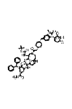 Cn1c(=O)n([C@@H]2CCC(=O)NC2=O)c2ccc(C[C@H]3CC[C@@H](CC(=O)N4CC[C@H]5CC[C@@H](C(=O)N[C@@H](CCC(N)=O)C(=O)NC(c6ccccc6)c6ccccc6)N5C(=O)[C@@H](NC(=O)OC(C)(C)C)C4)CC3)cc21